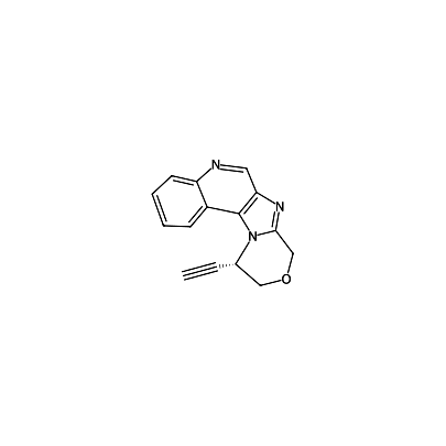 C#C[C@H]1COCc2nc3cnc4ccccc4c3n21